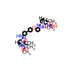 COC(=O)N[C@H](C(=O)N1[C@@H]2C[C@@H]2C[C@H]1c1nc2cc(-c3ccc(Oc4cccc5[nH]c([C@@H]6C[C@H]7C[C@H]7N6C(=O)[C@H](C(C)C)N(C)C(=O)O)nc45)cc3)ccc2[nH]1)C(C)C